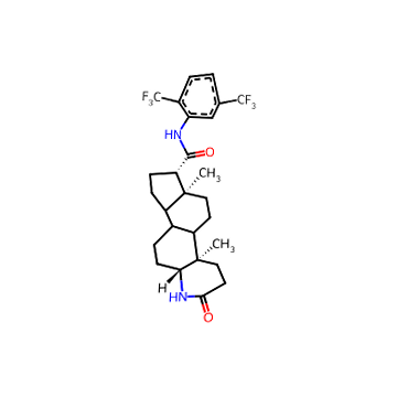 C[C@]12CCC3C(CC[C@H]4NC(=O)CC[C@]34C)C1CC[C@@H]2C(=O)Nc1cc(C(F)(F)F)ccc1C(F)(F)F